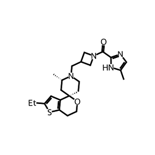 CCc1cc2c(s1)CCO[C@@]21CCN(CC2CN(C(=O)c3ncc(C)[nH]3)C2)[C@@H](C)C1